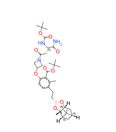 Cc1c(CCB2O[C@@H]3C[C@@H]4C[C@@H](C4(C)C)[C@]3(C)O2)ccc(OC2CN(C(=O)C[C@H](NC(=O)OC(C)(C)C)C(N)=O)C2)c1C(=O)OC(C)(C)C